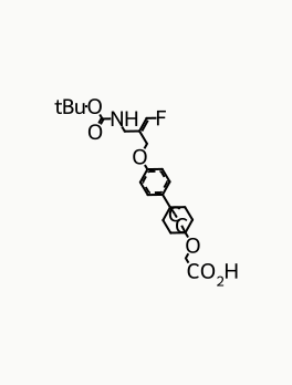 CC(C)(C)OC(=O)NC/C(=C/F)COc1ccc(C23CCC(OCC(=O)O)(CC2)CC3)cc1